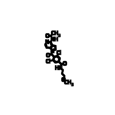 COCCCNC(=O)c1cc(Cl)c(C(=O)n2ccc3c(NC(C)=O)nccc32)c(Cl)c1